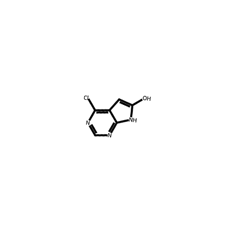 Oc1cc2c(Cl)ncnc2[nH]1